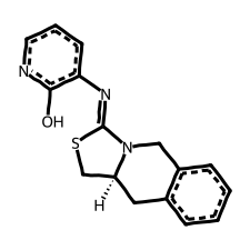 Oc1ncccc1N=C1SC[C@@H]2Cc3ccccc3CN12